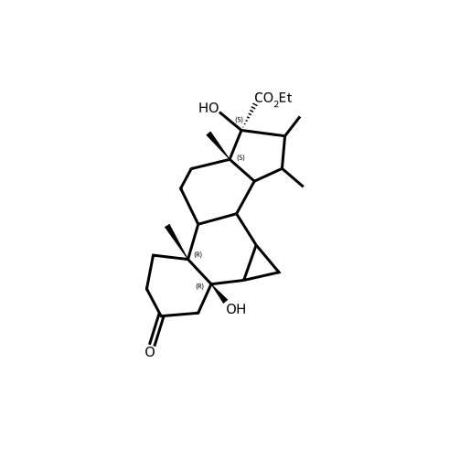 CCOC(=O)[C@]1(O)C(C)C(C)C2C3C4CC4[C@]4(O)CC(=O)CC[C@]4(C)C3CC[C@@]21C